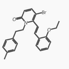 CCOc1ccccc1/C=C/c1c(Br)ccc(=O)n1CCc1ccc(C)cc1